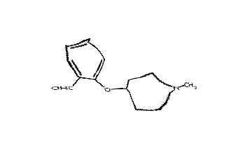 CN1CCC(Oc2ccccc2C=O)CC1